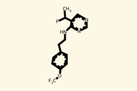 CC(F)c1cncnc1NCCc1ccc(OC(F)(F)F)cc1